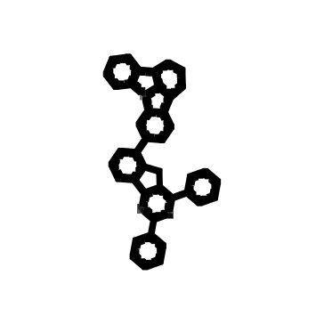 c1ccc(-c2nc(-c3ccccc3)c3c(n2)-c2cccc(-c4ccc5c6cccc7c8ccccc8n(c5c4)c76)c2C3)cc1